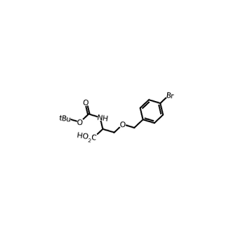 CC(C)(C)OC(=O)NC(COCc1ccc(Br)cc1)C(=O)O